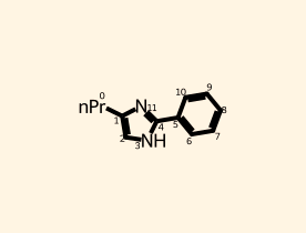 CCCc1c[nH]c(-c2ccccc2)n1